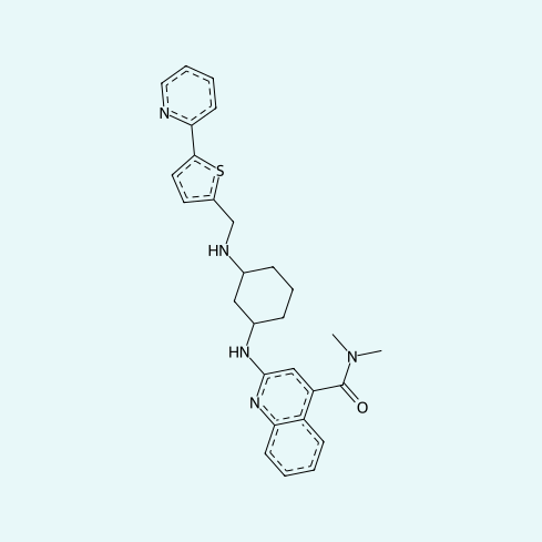 CN(C)C(=O)c1cc(NC2CCCC(NCc3ccc(-c4ccccn4)s3)C2)nc2ccccc12